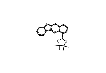 CC1(C)OB(c2cccc3cc4sc5ccccc5c4cc23)OC1(C)C